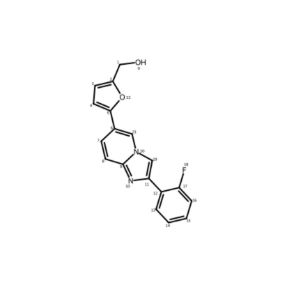 OCc1ccc(-c2ccc3nc(-c4ccccc4F)cn3c2)o1